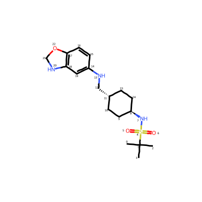 CC(C)(C)S(=O)(=O)N[C@H]1CC[C@H](CNc2ccc3c(c2)NCO3)CC1